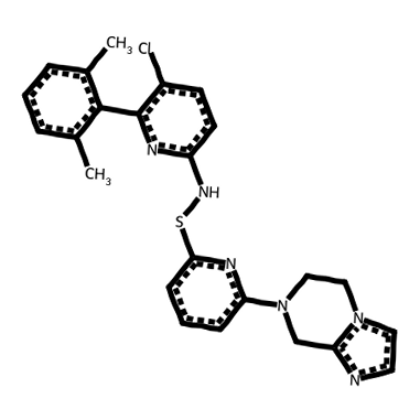 Cc1cccc(C)c1-c1nc(NSc2cccc(N3CCn4ccnc4C3)n2)ccc1Cl